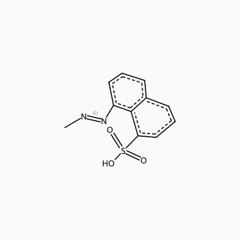 C/N=N/c1cccc2cccc(S(=O)(=O)O)c12